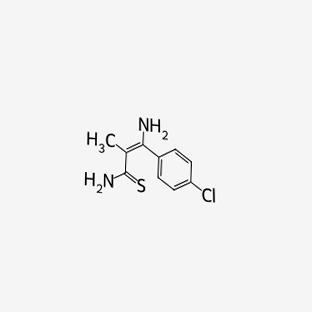 C/C(C(N)=S)=C(\N)c1ccc(Cl)cc1